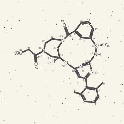 Cc1cccc(C)c1-c1cc2nc(n1)N[S+]([O-])c1cccc(c1)C(=O)N1CCN(C(=O)CC(C)(C)C)C[C@H](C1)O2